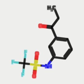 CCC(=O)c1cccc(NS(=O)(=O)C(F)(F)F)c1